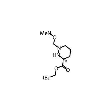 CNOCN1CCC[C@@H](C(=O)OCC(C)(C)C)N1